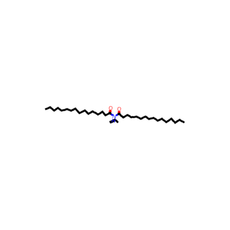 C=CC.CCCCCCCCCCCCCCCC(=O)NC(=O)CCCCCCCCCCCCCCC